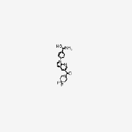 NC(O)c1ccc(-n2ccc3cc(C(=O)N4CCC(F)(F)CC4)cnc32)cc1